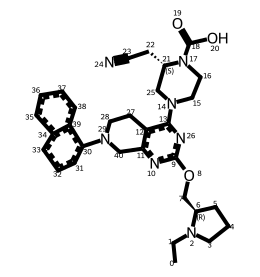 CCN1CCC[C@@H]1COc1nc2c(c(N3CCN(C(=O)O)[C@@H](CC#N)C3)n1)CCN(c1cccc3ccccc13)C2